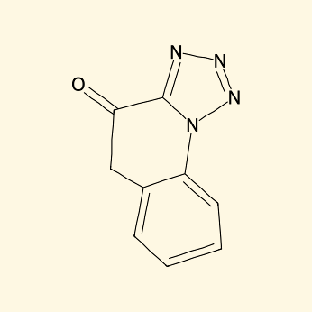 O=C1Cc2ccccc2-n2nnnc21